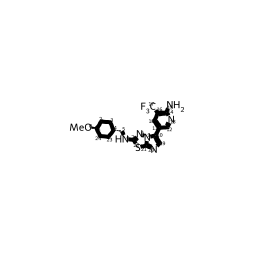 CO[C@H]1CC[C@H](CNc2nn3c(-c4cnc(N)c(C(F)(F)F)c4)cnc3s2)CC1